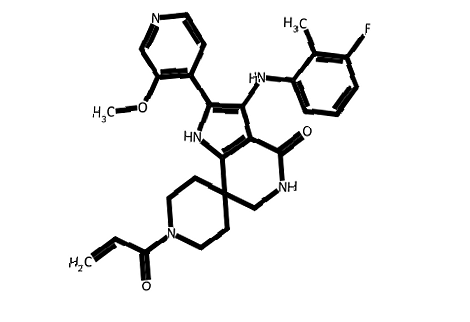 C=CC(=O)N1CCC2(CC1)CNC(=O)c1c2[nH]c(-c2ccncc2OC)c1Nc1cccc(F)c1C